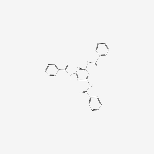 O=C(Nc1nc(NC(=O)c2ccccc2)nc(NC(=O)c2ccccc2)n1)c1ccccc1